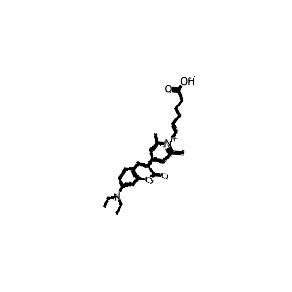 CCN(CC)c1ccc2cc(-c3cc(C)[n+](CCCCCC(=O)O)c(C)c3)c(=O)oc2c1